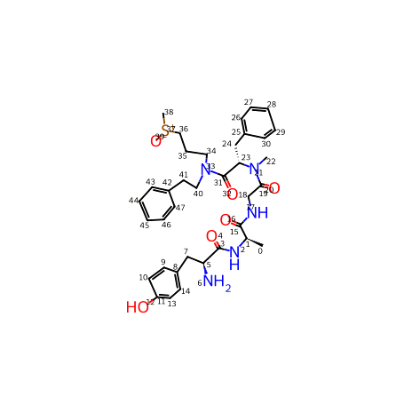 C[C@@H](NC(=O)[C@@H](N)Cc1ccc(O)cc1)C(=O)NCC(=O)N(C)[C@@H](Cc1ccccc1)C(=O)N(CCC[S+](C)[O-])CCc1ccccc1